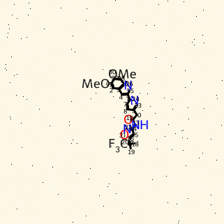 COC1=Cc2cc(-c3ccc(CC(=O)Nc4cc(C(C)(C)C(F)(F)F)on4)cn3)cnc2CC1OC